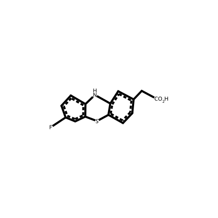 O=C(O)Cc1ccc2c(c1)Nc1ccc(F)cc1S2